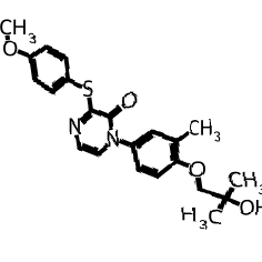 COc1ccc(Sc2nccn(-c3ccc(OCC(C)(C)O)c(C)c3)c2=O)cc1